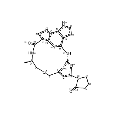 C[C@@H]1COCc2cc(nc(N3CCCC3=O)c2)Nc2nc3c(cnn3c3[nH]ccc23)C(=O)N1